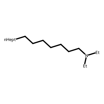 CCCCCCCCCCCCCCN(CC)CC